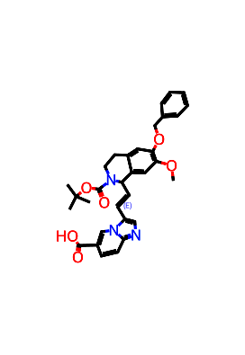 COc1cc2c(cc1OCc1ccccc1)CCN(C(=O)OC(C)(C)C)C2/C=C/c1cnc2ccc(C(=O)O)cn12